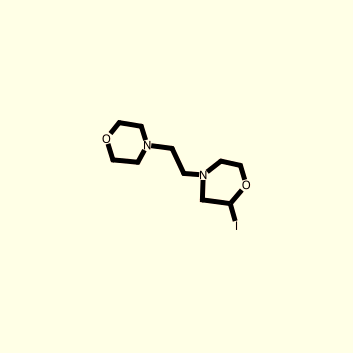 IC1CN(CCN2CCOCC2)CCO1